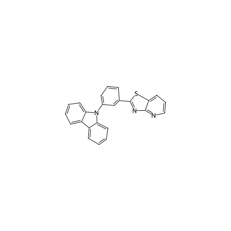 c1cc(-c2nc3ncccc3s2)cc(-n2c3ccccc3c3ccccc32)c1